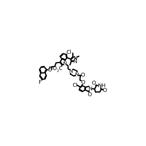 Cc1nn(C)c(C)c1-c1c(Cl)ccc2c(CCCOc3cccc4cc(F)ccc34)c(C(=O)O)n(CCN3CCN(C(=O)COc4c(Cl)ccc5c4CN(C4CCC(=O)NC4=O)C5=O)CC3)c12